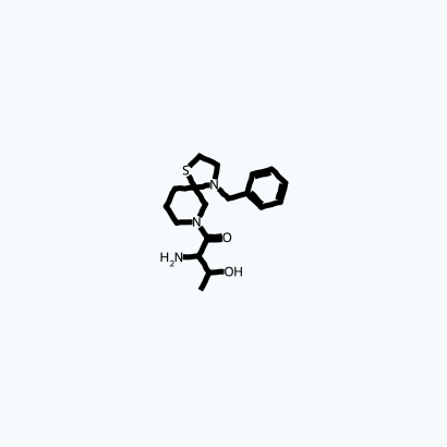 CC(O)C(N)C(=O)N1CCCC2(C1)SCCN2Cc1ccccc1